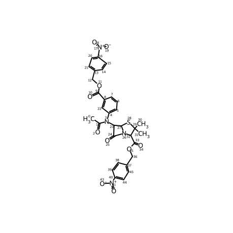 CC(=O)N(c1cccc(C(=O)OCc2ccc([N+](=O)[O-])cc2)c1)C1C(=O)N2C1SC(C)(C)C2C(=O)OCc1ccc([N+](=O)[O-])cc1